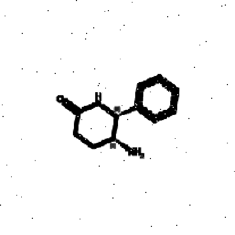 N[C@@H]1CCC(=O)N[C@@H]1c1ccccc1